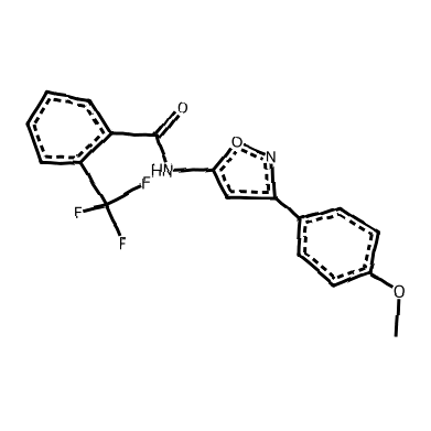 COc1ccc(-c2cc(NC(=O)c3ccccc3C(F)(F)F)on2)cc1